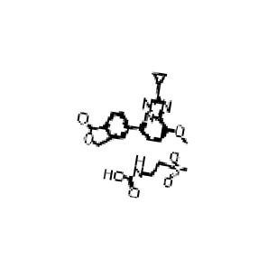 COc1ccc(-c2ccc3c(c2)COC3=O)n2nc(C3CC3)nc12.CS(=O)(=O)CCNC(=O)O